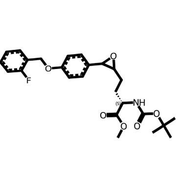 COC(=O)[C@H](CCC1OC1c1ccc(OCc2ccccc2F)cc1)NC(=O)OC(C)(C)C